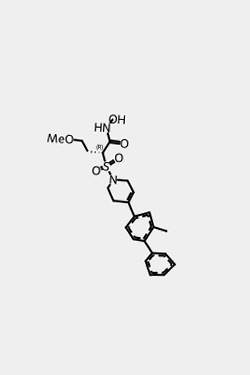 COCC[C@H](C(=O)NO)S(=O)(=O)N1CC=C(c2ccc(-c3ccccc3)c(C)c2)CC1